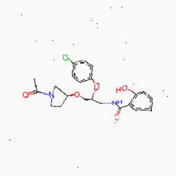 CC(=O)N1CC[C@H](OC[C@H](CNC(=O)c2ccccc2O)Oc2ccc(Cl)cc2)C1